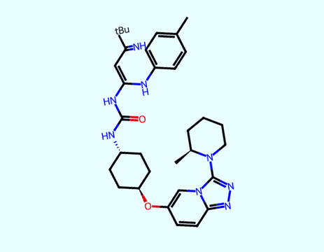 Cc1ccc(N/C(=C\C(=N)C(C)(C)C)NC(=O)N[C@H]2CC[C@H](Oc3ccc4nnc(N5CCCC[C@@H]5C)n4c3)CC2)cc1